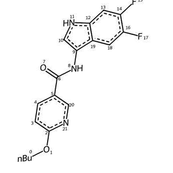 CCCCOc1ccc(C(=O)Nc2c[nH]c3cc(F)c(F)cc23)cn1